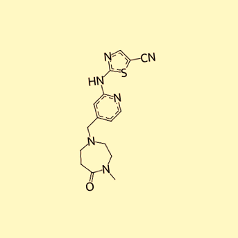 CN1CCN(Cc2ccnc(Nc3ncc(C#N)s3)c2)CCC1=O